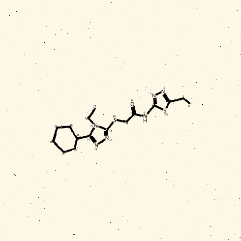 CCc1nnc(NC(=O)CSc2nnc(C3CCCCC3)n2CC)s1